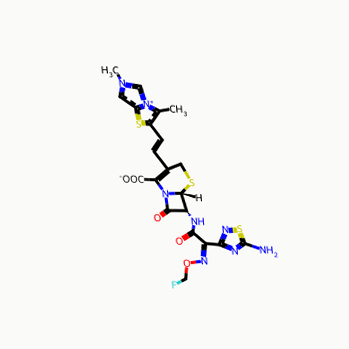 Cc1c(/C=C/C2=C(C(=O)[O-])N3C(=O)[C@@H](NC(=O)/C(=N\OCF)c4nsc(N)n4)[C@H]3SC2)sc2cn(C)c[n+]12